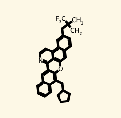 CC(C)(Cc1ccc2cc3c4c(nccc4c2c1)-c1cc2ccccc2c(CC2CCCC2)c1O3)C(F)(F)F